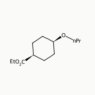 CCCO[C@H]1CC[C@@H](C(=O)OCC)CC1